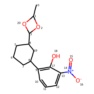 CC1OC(C2CCCC(c3cccc([N+](=O)[O-])c3O)C2)O1